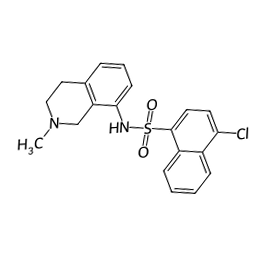 CN1CCc2cccc(NS(=O)(=O)c3ccc(Cl)c4ccccc34)c2C1